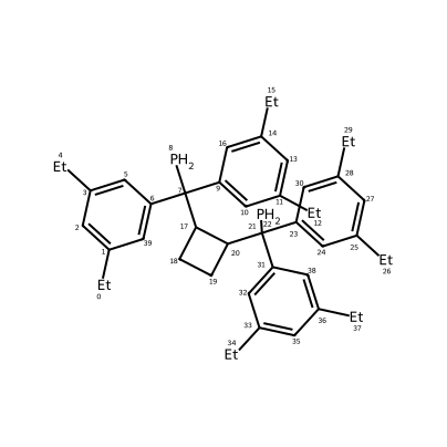 CCc1cc(CC)cc(C(P)(c2cc(CC)cc(CC)c2)C2CCC2C(P)(c2cc(CC)cc(CC)c2)c2cc(CC)cc(CC)c2)c1